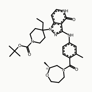 CCC1(n2nc(Nc3ccc(C(=O)N4CCCO[C@@H](C)C4)c(C)c3)c3c(=O)[nH]ccc32)CCN(C(=O)OC(C)(C)C)CC1